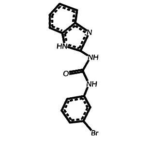 O=C(Nc1cccc(Br)c1)Nc1nc2ccccc2[nH]1